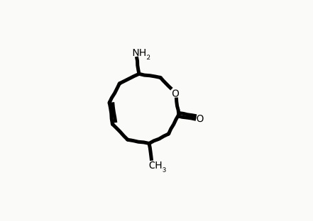 CC1C/C=C\CC(N)COC(=O)C1